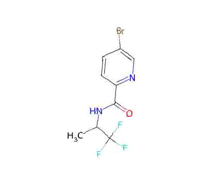 CC(NC(=O)c1ccc(Br)cn1)C(F)(F)F